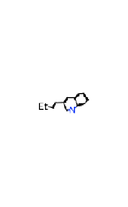 CC/C=C/c1cnc2ccccc2c1